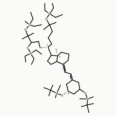 CC[Si](C)(CC)OC(C)(C)C(CC[C@H](CCCC(C)(C)O[Si](CC)(CC)CC)C1CCC2/C(=C/C=C3/CC(O[Si](C)(C)C(C)(C)C)C[C@H](O[Si](C)(C)C(C)(C)C)C3)CCC[C@@]21C)O[Si](CC)(CC)CC